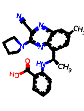 Cc1cc(C(C)Nc2ccccc2C(=O)O)c2nc(N3CCCC3)c(C#N)nc2c1